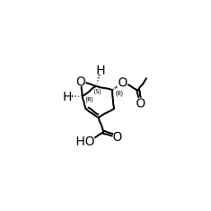 CC(=O)O[C@@H]1CC(C(=O)O)=C[C@H]2O[C@H]21